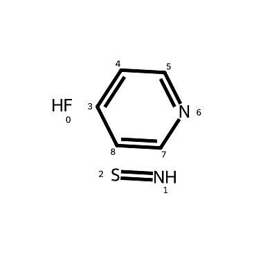 F.N=S.c1ccncc1